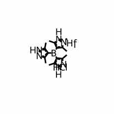 Cc1n[nH]c(C)c1B(c1c(C)n[nH]c1C)c1c(C)n[nH]c1C.Cl.[CH3][Hf]